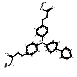 CC(C)OC(=O)CCc1ccc(N(c2ccc(CCC(=O)OC(C)C)cc2)c2ccc(-c3ccccc3)cc2)cc1